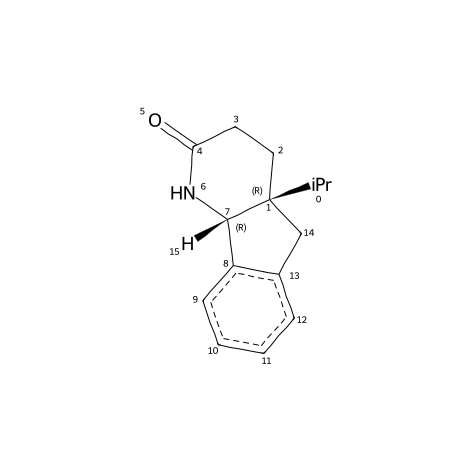 CC(C)[C@]12CCC(=O)N[C@H]1c1ccccc1C2